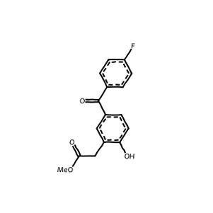 COC(=O)Cc1cc(C(=O)c2ccc(F)cc2)ccc1O